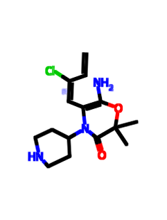 C=C/C(Cl)=C\C1=C(N)OC(C)(C)C(=O)N1C1CCNCC1